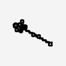 O=C1OC2(c3ccccc3Oc3cccc(N4CCC4)c32)c2cc(CCCCOCCOCCCCCCCl)ccc21